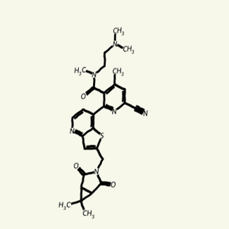 Cc1cc(C#N)nc(-c2ccnc3cc(CN4C(=O)C5C(C4=O)C5(C)C)sc23)c1C(=O)N(C)CCN(C)C